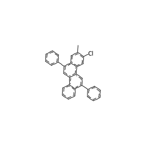 Cc1cc2c(-c3ccccc3)cc3c4ccccc4c(-c4ccccc4)cc3c2cc1Cl